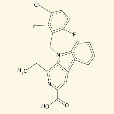 CCc1nc(C(=O)O)cc2c3ccccc3n(Cc3c(F)ccc(Cl)c3F)c12